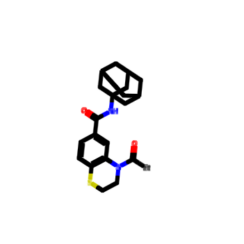 CCC(=O)N1CCSc2ccc(C(=O)NC34CC5CC(CC(C5)C3)C4)cc21